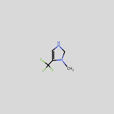 CN1CN[C]=C1C(F)(F)F